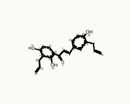 C=CCc1cc(/C=C/C(=O)c2ccc(O)c(CC=C)c2O)ccc1O